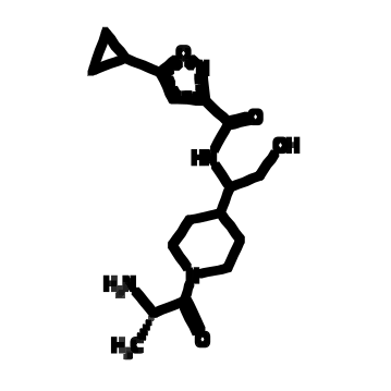 C[C@H](N)C(=O)N1CCC(C(CO)NC(=O)c2cc(C3CC3)on2)CC1